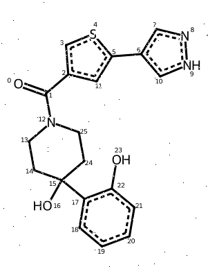 O=C(c1csc(-c2cn[nH]c2)c1)N1CCC(O)(c2ccccc2O)CC1